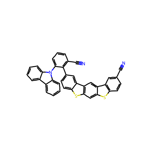 N#Cc1ccc2sc3cc4sc5ccc(-c6c(C#N)cccc6-n6c7ccccc7c7ccccc76)cc5c4cc3c2c1